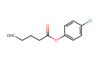 O=CCCCC(=O)Oc1ccc(Cl)cc1